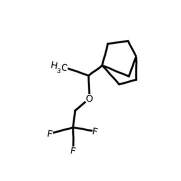 CC(OCC(F)(F)F)C12CCC(CC1)C2